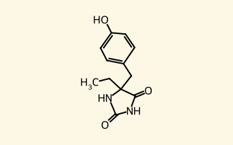 CCC1(Cc2ccc(O)cc2)NC(=O)NC1=O